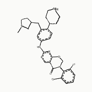 CN1CCC(Cc2cc(Nc3ncc4c(n3)OCN(c3c(Cl)cccc3Cl)C4=O)ccc2C2CCNCC2)C1